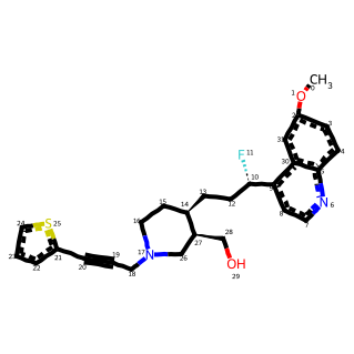 COc1ccc2nccc([C@@H](F)CC[C@@H]3CCN(CC#Cc4cccs4)C[C@@H]3CO)c2c1